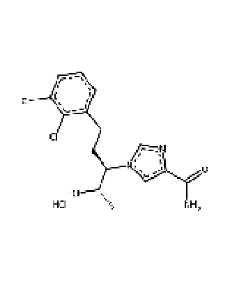 C[C@H](O)[C@@H](CCc1cccc(Cl)c1Cl)n1cnc(C(N)=O)c1.Cl